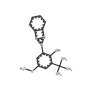 COc1cc(-n2n3c4ccccc4n23)c(O)c(C(C)(C)C)c1